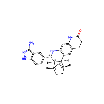 Nc1n[nH]c2ccc([C@@H]3Nc4cc5c(cc4[C@H]4[C@@H]6CC[C@@H](C6)[C@H]43)CCC(=O)N5)cc12